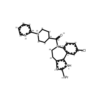 CCCc1nc2c([nH]1)-c1cc(Cl)ccc1N(C(=O)C1CCN(c3ccccn3)CC1)CC2